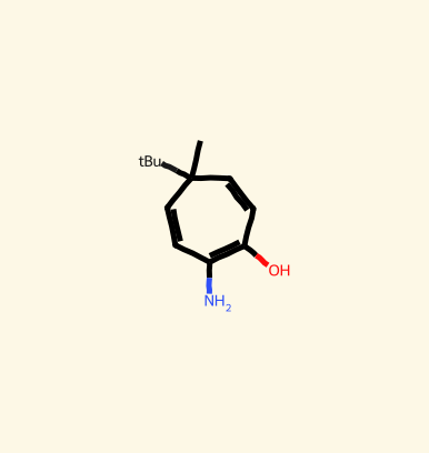 CC(C)(C)C1(C)C=CC(N)=C(O)C=C1